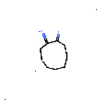 N=C1CCCCCCCC1=N